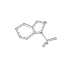 O=[SH](=O)n1ncc2ccccc21